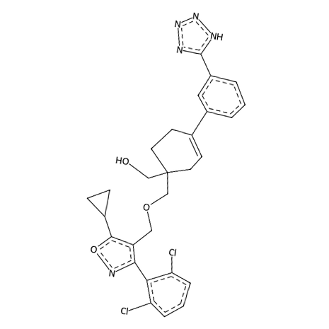 OCC1(COCc2c(-c3c(Cl)cccc3Cl)noc2C2CC2)CC=C(c2cccc(-c3nnn[nH]3)c2)CC1